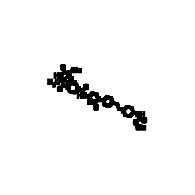 CC(C)(C)OC(=O)NC1CCN(CCc2ccc(-n3ccc(NC(=O)N4CCN(C(=O)C(C)(C)NC(=O)OC(C)(C)C)CC4)nc3=O)cc2)CC1